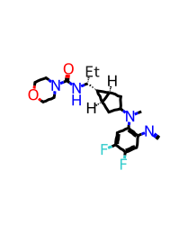 C=Nc1cc(F)c(F)cc1N(C)C1C[C@@H]2[C@H](C1)[C@H]2[C@@H](CC)NC(=O)N1CCOCC1